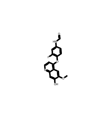 COc1cc2c(Oc3ccc(NC=O)cc3F)ccnc2cc1O